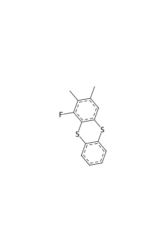 Cc1cc2c(c(F)c1C)Sc1ccccc1S2